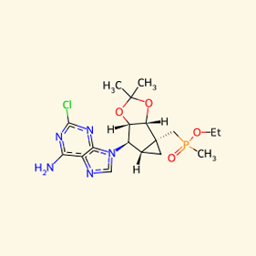 CCOP(C)(=O)C[C@]12C[C@@H]1[C@@H](n1cnc3c(N)nc(Cl)nc31)[C@@H]1OC(C)(C)O[C@@H]12